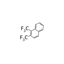 FC(F)(F)c1ccc2ccccc2c1C(F)(F)F